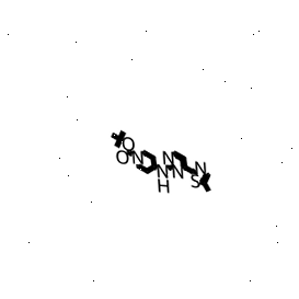 Cc1cnc(-c2ccnc(NC3CCN(C(=O)OC(C)(C)C)CC3)n2)s1